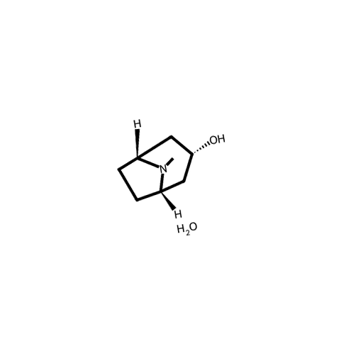 CN1[C@@H]2CC[C@H]1C[C@@H](O)C2.O